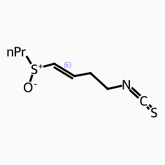 CCC[S+]([O-])/C=C/CCN=C=S